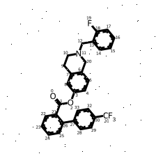 O=C(Oc1ccc2c(c1)CCN(Cc1ccccc1F)C2)c1ccccc1-c1ccc(C(F)(F)F)cc1